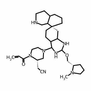 C=CC(=O)N1CCN(C2NC(OC[C@@H]3CCCN3C)NC3C[C@]4(CCCC5CCNCC54)CCC32)C[C@@H]1CC#N